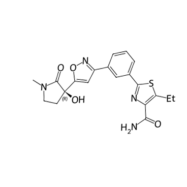 CCc1sc(-c2cccc(-c3cc([C@]4(O)CCN(C)C4=O)on3)c2)nc1C(N)=O